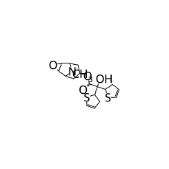 CN1C2CC(OC(=O)C(O)(C3CC=CS3)C3CC=CS3)CC1C1OC12